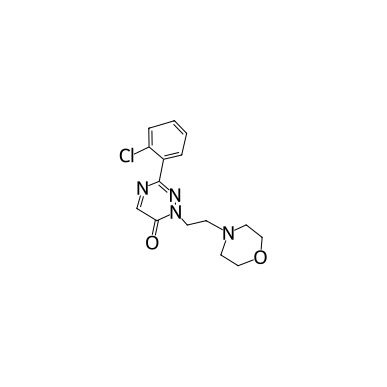 O=c1cnc(-c2ccccc2Cl)nn1CCN1CCOCC1